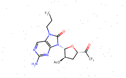 CC(=O)O[C@@H]1C[C@@H](C(=O)C(F)(F)F)O[C@H]1n1c(=O)n(CCC(F)(F)F)c2cnc(N)nc21